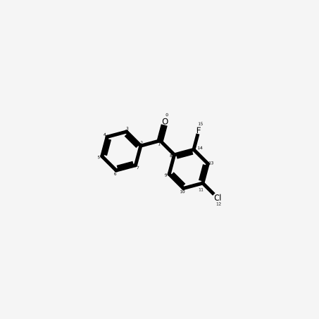 O=C(c1ccccc1)c1ccc(Cl)cc1F